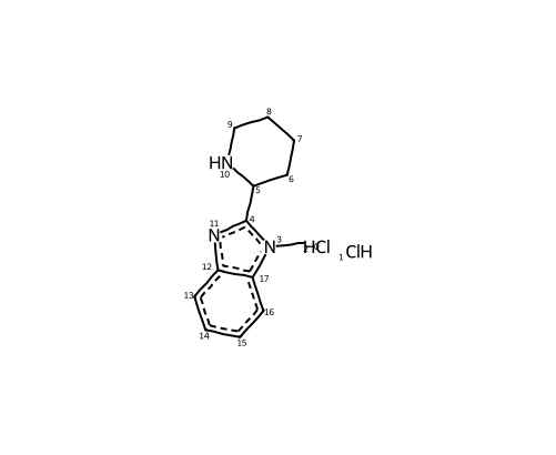 Cl.Cl.Cn1c(C2CCCCN2)nc2ccccc21